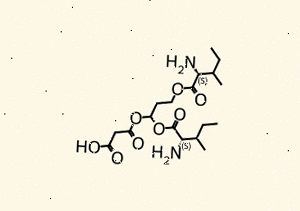 CCC(C)[C@H](N)C(=O)OCCC(OC(=O)CC(=O)O)OC(=O)[C@@H](N)C(C)CC